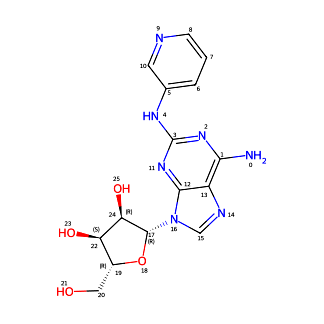 Nc1nc(Nc2cccnc2)nc2c1ncn2[C@@H]1O[C@H](CO)[C@@H](O)[C@H]1O